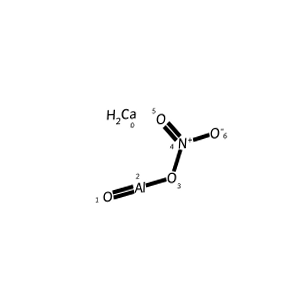 [CaH2].[O]=[Al][O][N+](=O)[O-]